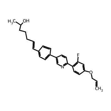 C=CCOc1ccc(-c2ccc(-c3ccc(C=CCCCC(C)O)cc3)cn2)c(F)c1